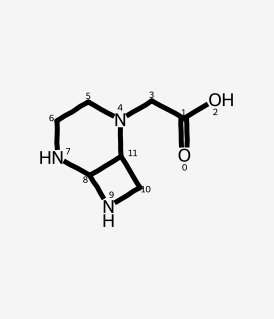 O=C(O)CN1CCNC2NCC21